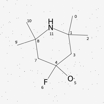 CC1(C)CC([O])(F)CC(C)(C)N1